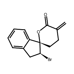 C=C1CC[C@]2(OC1=O)c1ccccc1C[C@@H]2Br